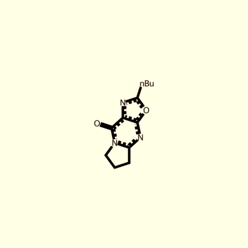 CCCCc1nc2c(=O)n3c(nc2o1)CCC3